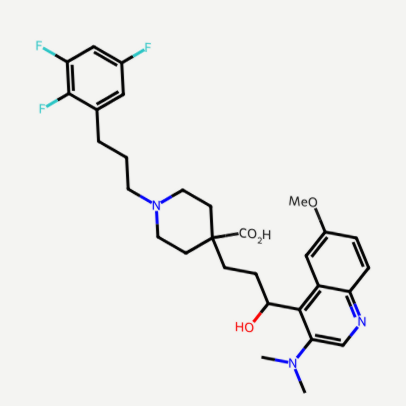 COc1ccc2ncc(N(C)C)c(C(O)CCC3(C(=O)O)CCN(CCCc4cc(F)cc(F)c4F)CC3)c2c1